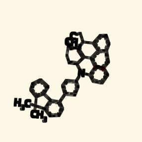 CC1C=C(c2cccc3cccc(C4CCCCC4)c23)C(N(c2ccccc2)c2ccc(-c3cccc4c3-c3ccccc3C4(C)C)cc2)=CC1